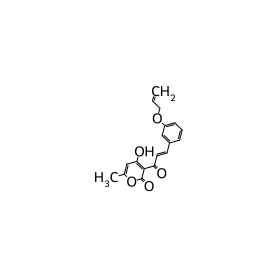 C=CCOc1cccc(/C=C/C(=O)c2c(O)cc(C)oc2=O)c1